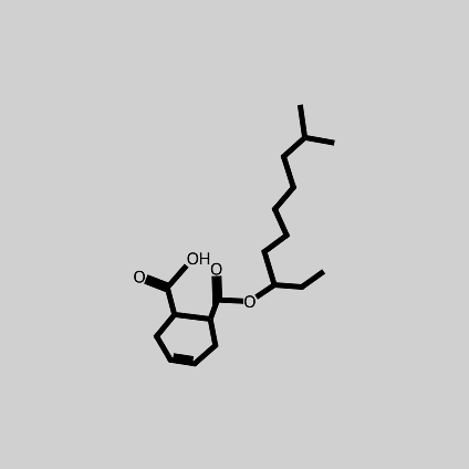 CCC(CCCCCC(C)C)OC(=O)C1CC=CCC1C(=O)O